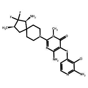 C[C@@H]1CC2(CCN(c3nc(N)c(Sc4ccnc(N)c4Cl)c(=O)n3C)CC2)[C@H](N)C1(F)F